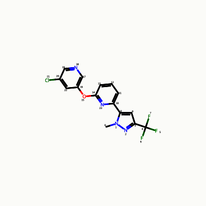 Cn1nc(C(F)(F)F)cc1-c1cccc(Oc2cncc(Cl)c2)n1